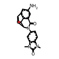 Cn1c(=O)n(C)c2cc(N3C(=O)c4cc(N)cc5c4C(=O)C3C=C5)ccc21